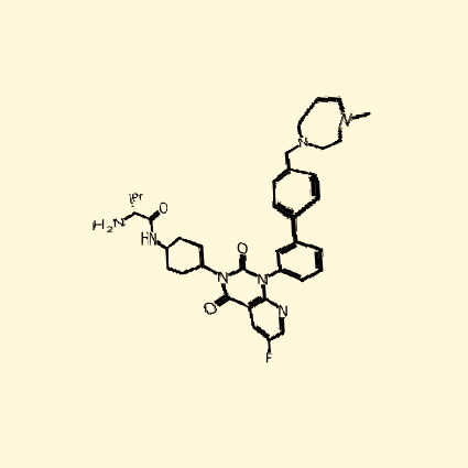 CC(C)[C@@H](N)C(=O)NC1CCC(n2c(=O)c3cc(F)cnc3n(-c3cccc(-c4ccc(CN5CCCN(C)CC5)cc4)c3)c2=O)CC1